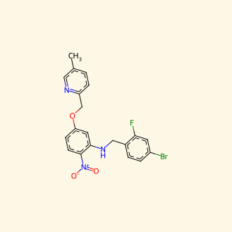 Cc1ccc(COc2ccc([N+](=O)[O-])c(NCc3ccc(Br)cc3F)c2)nc1